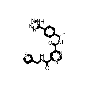 C[C@H](NC(=O)c1cc(C(=O)NCc2ccsc2)ncn1)c1ccc(-c2nnn[nH]2)cc1